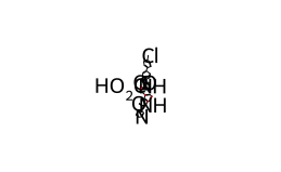 O=C(Nc1cccc(C2CC2(NS(=O)(=O)c2ccc(-c3ccc(Cl)cc3)cc2)C(=O)O)c1)c1cccnc1